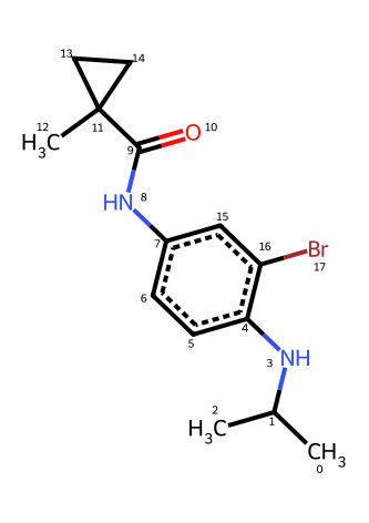 CC(C)Nc1ccc(NC(=O)C2(C)CC2)cc1Br